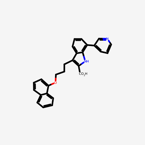 O=C(O)c1[nH]c2c(-c3cccnc3)cccc2c1CCCOc1cccc2ccccc12